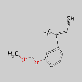 C#C/C=C(\C)c1cccc(OCOC)c1